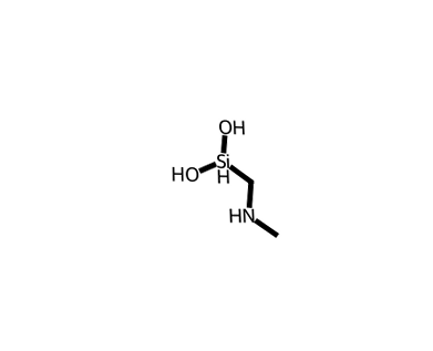 CNC[SiH](O)O